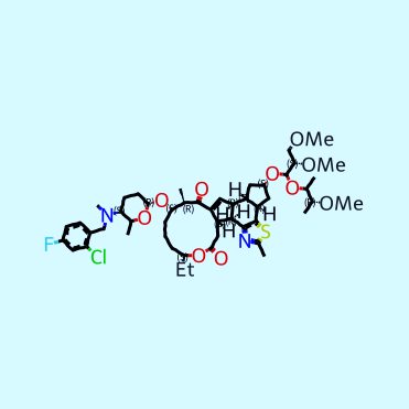 CC[C@H]1CCC[C@H](O[C@H]2CC[C@H](N(C)Cc3ccc(F)cc3Cl)C(C)O2)[C@@H](C)C(=O)C2=C[C@H]3[C@@H]4C[C@H](OC(OC(C)[C@@H](C)OC)[C@H](COC)OC)C[C@H]4c4sc(C)nc4[C@H]3[C@@H]2CC(=O)O1